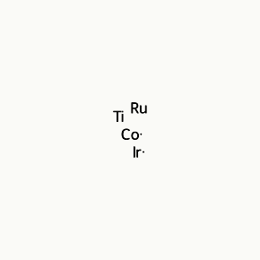 [Co].[Ir].[Ru].[Ti]